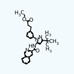 CCOC(=O)CCc1cccc(-n2nc(C(C)(C)C)cc2NC(=O)c2cc3ccccc3cn2)c1